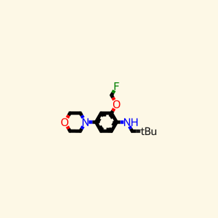 CC(C)(C)CNc1ccc(N2CCOCC2)cc1OCF